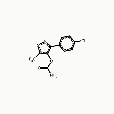 NC(=O)Oc1c(-c2ccc(Cl)cc2)nsc1C(F)(F)F